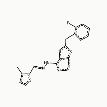 Cc1ccsc1C=NNc1ncnc2sc(Cc3ccccc3F)cc12